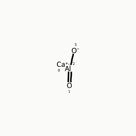 [Ca+].[O]=[Al][O-]